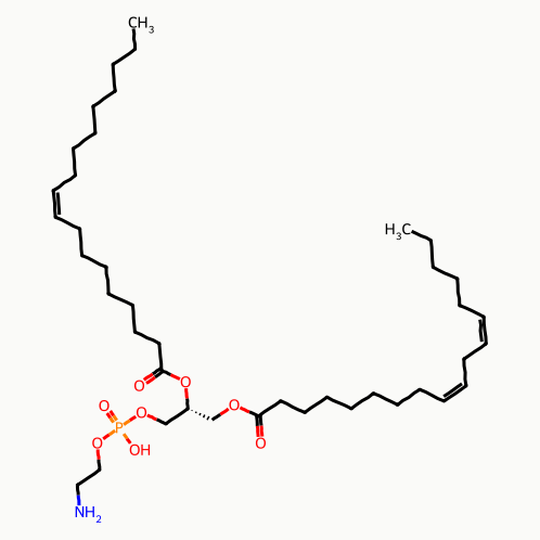 CCCCC/C=C\C/C=C\CCCCCCCC(=O)OC[C@H](COP(=O)(O)OCCN)OC(=O)CCCCCCC/C=C\CCCCCCCC